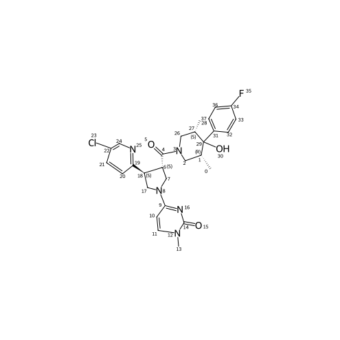 C[C@@H]1CN(C(=O)[C@@H]2CN(c3ccn(C)c(=O)n3)C[C@H]2c2ccc(Cl)cn2)C[C@H](C)C1(O)c1ccc(F)cc1